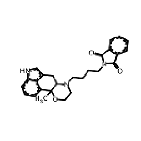 CC12OCCN(CCCCN3C(=O)c4ccccc4C3=O)C1Cc1c[nH]c3cccc2c13